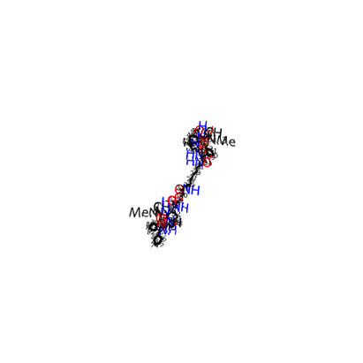 CN[C@@H](C)C(=O)N[C@@H]1C(=O)N2[C@@H](CC[C@@H]1CNC(=O)COCC(=O)NCCCCCCCCNC(=O)[C@@H](NC(=O)[C@@H]1CC[C@@H]3CC[C@H](CO)[C@H](NC(=O)[C@H](C)NC)C(=O)N31)c1ccccc1)CC[C@H]2C(=O)NC(c1ccccc1)c1ccccc1